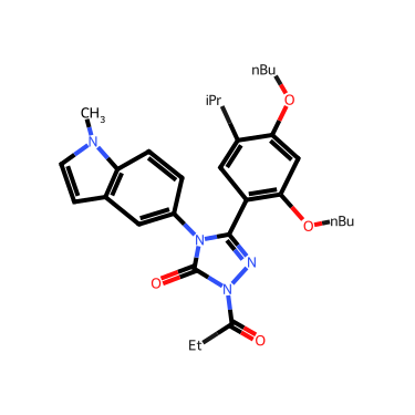 CCCCOc1cc(OCCCC)c(C(C)C)cc1-c1nn(C(=O)CC)c(=O)n1-c1ccc2c(ccn2C)c1